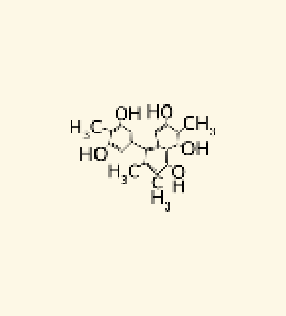 Cc1c(O)cc(-c2c(C)c(C)c(O)c3c(O)c(C)c(O)cc23)cc1O